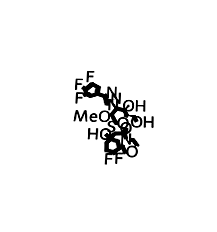 CO[C@@H]1[C@@H](n2cc(-c3cc(F)c(F)c(F)c3)nn2)[C@@H](O)[C@@H](CO)O[C@H]1SC(C(=O)N1CCOCC1)C1(O)CCC(F)(F)CC1